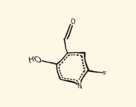 O=Cc1cc(F)ncc1O